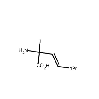 CCCC=CC(C)(N)C(=O)O